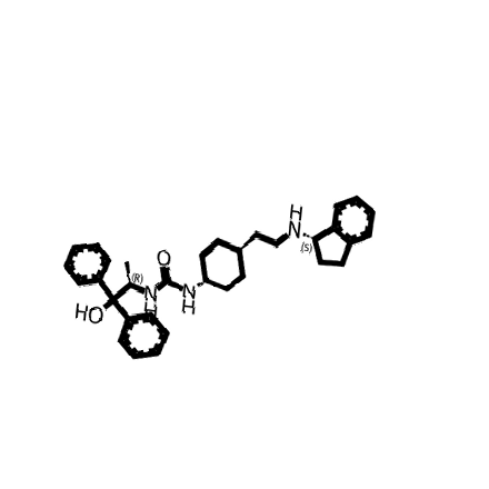 C[C@@H](NC(=O)N[C@H]1CC[C@H](CCN[C@H]2CCc3ccccc32)CC1)C(O)(c1ccccc1)c1ccccc1